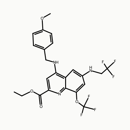 CCOC(=O)c1cc(NCc2ccc(OC)cc2)c2cc(NCC(F)(F)F)cc(OC(F)(F)F)c2n1